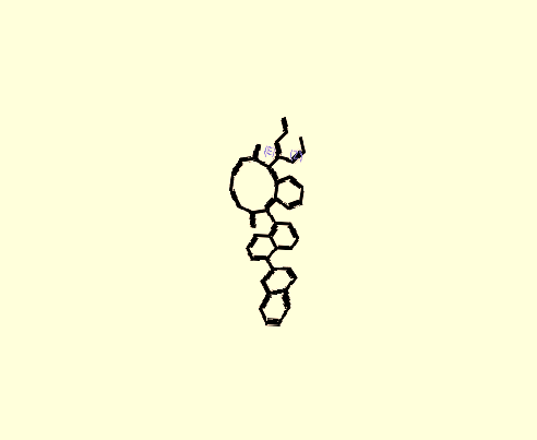 C=C/C=C(\C=C/C)c1c(=C)ccccc(=C)c(-c2cccc3c(-c4ccc5ccccc5c4)cccc23)c2ccccc12